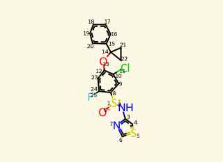 [O-][S+](Nc1cscn1)c1cc(Cl)c(OC2(c3ccccc3)CC2)cc1F